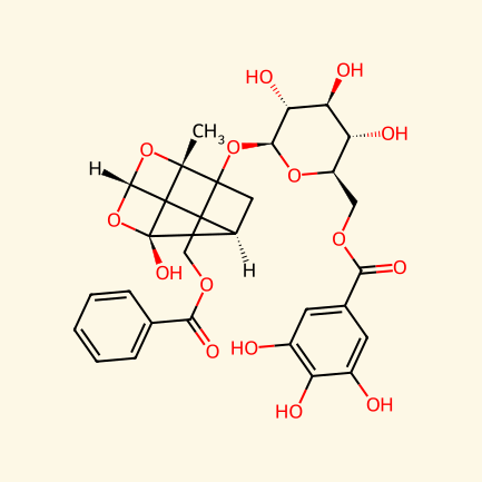 C[C@@]12O[C@H]3O[C@@]4(O)[C@@H]5CC1(O[C@@H]1O[C@H](COC(=O)c6cc(O)c(O)c(O)c6)[C@@H](O)[C@H](O)[C@H]1O)C5(COC(=O)c1ccccc1)C324